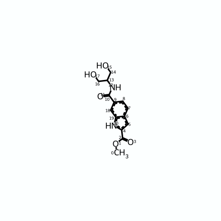 COC(=O)c1cc2ccc(C(=O)NC(CO)CO)cc2[nH]1